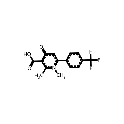 Cc1c(C(=O)O)c(=O)cc(-c2ccc(C(F)(F)F)cc2)n1C